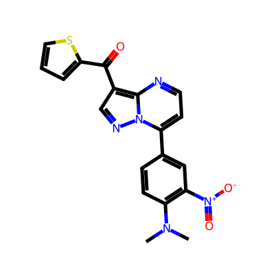 CN(C)c1ccc(-c2ccnc3c(C(=O)c4cccs4)cnn23)cc1[N+](=O)[O-]